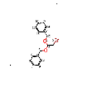 BrCC(OCc1ccccc1)OCc1ccccc1